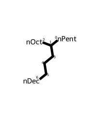 [CH2]CCCCC(CCCCCCCC)CCCCCCCCCCCCC